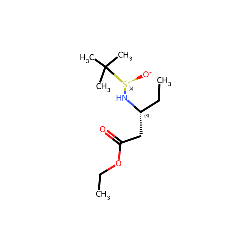 CCOC(=O)C[C@@H](CC)N[S@+]([O-])C(C)(C)C